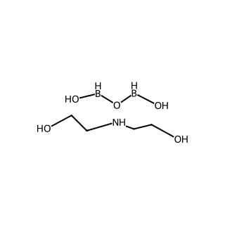 OBOBO.OCCNCCO